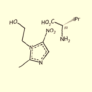 CC(C)[C@H](N)C(=O)O.Cc1ncc([N+](=O)[O-])n1CCO